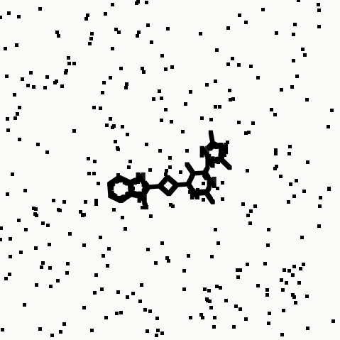 CC1=NC(C2CC(c3nc4ccccc4n3C)C2)C(C)C(n2nc(C)nc2C)=N1